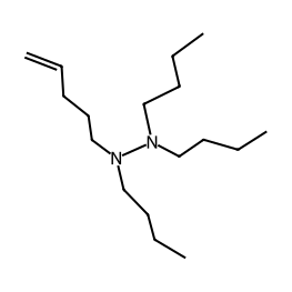 C=CCCCN(CCCC)N(CCCC)CCCC